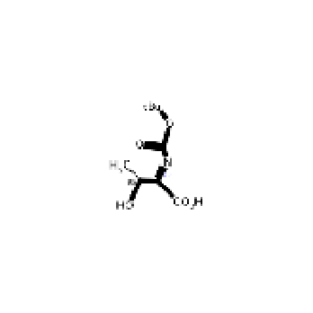 C[C@@H](O)/C(=N\C(=O)OC(C)(C)C)C(=O)O